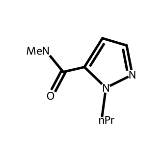 CCCn1nccc1C(=O)NC